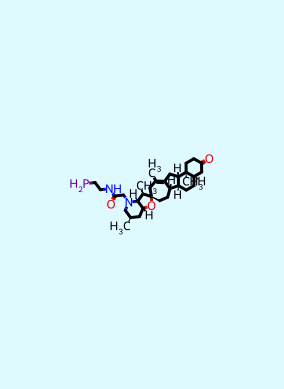 CC1=C2C[C@H]3[C@@H](CC[C@@H]4CC(=O)CC[C@@]43C)[C@@H]2CC[C@@]2(C1)O[C@@H]1C[C@H](C)CN(CC(=O)NCCP)[C@H]1[C@H]2C